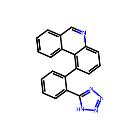 c1ccc(-c2cccc3ncc4ccccc4c23)c(-c2nnn[nH]2)c1